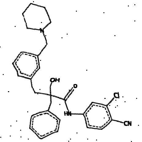 N#Cc1ccc(NC(=O)C(O)(Cc2cccc(CN3CCCCC3)c2)c2ccccc2)cc1Cl